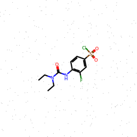 CCN(CC)C(=O)Nc1ccc(S(=O)(=O)Cl)cc1F